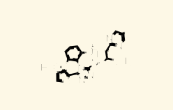 COc1cccc(OC)c1-n1c(NSC(C)Cc2ncc(F)cn2)nnc1-c1ccco1